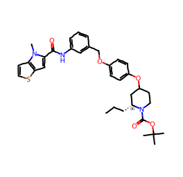 CCC[C@@H]1CC(Oc2ccc(OCc3cccc(NC(=O)c4cc5sccc5n4C)c3)cc2)CCN1C(=O)OC(C)(C)C